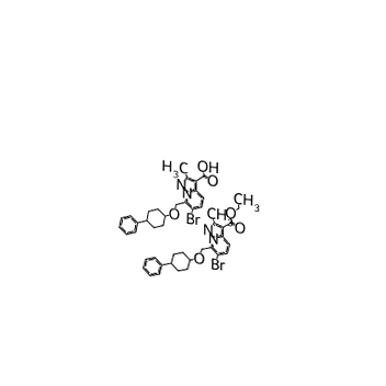 CCOC(=O)c1c(C)nn2c(COC3CCC(c4ccccc4)CC3)c(Br)ccc12.Cc1nn2c(COC3CCC(c4ccccc4)CC3)c(Br)ccc2c1C(=O)O